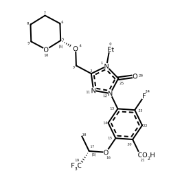 CCn1c(CO[C@H]2CCCCO2)nn(-c2cc(O[C@@H](C)C(F)(F)F)c(C(=O)O)cc2F)c1=O